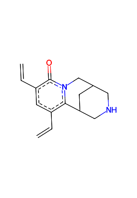 C=Cc1cc(C=C)c(=O)n2c1C1CNCC(C1)C2